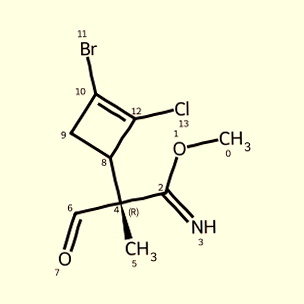 COC(=N)[C@](C)(C=O)C1CC(Br)=C1Cl